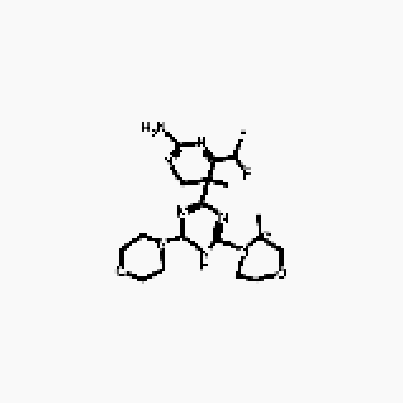 C[C@H]1COCCN1C1=NC(C2(C)CN=C(N)N=C2C(F)F)=NC(N2CCOCC2)N1